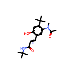 CC(=O)N(C)c1cc(/C=C/C(=O)NC(C)(C)C)c(O)cc1C(C)(C)C